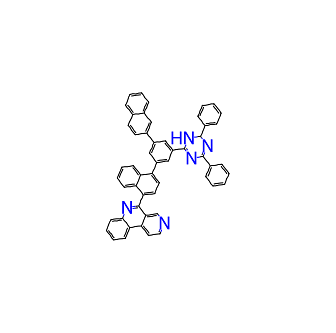 c1ccc(C2=NC(c3ccccc3)NC(c3cc(-c4ccc5ccccc5c4)cc(-c4ccc(-c5nc6ccccc6c6ccncc56)c5ccccc45)c3)=N2)cc1